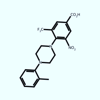 Cc1ccccc1N1CCN(c2c([N+](=O)[O-])cc(C(=O)O)cc2C(F)(F)F)CC1